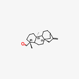 C=C1C[C@@]23CCC4[C@@](C)(CCC[C@@]4(C)C=O)C2CCC1C3